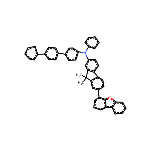 CC1(C)c2cc(-c3cccc4c3oc3ccccc34)ccc2-c2ccc(N(c3ccccc3)c3ccc(-c4ccc(-c5ccccc5)cc4)cc3)cc21